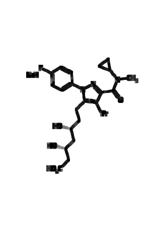 CC(C)c1c(C(=O)N(C)C2CC2)nn(-c2ccc(F)cc2)c1CC[C@@H](O)C[C@@H](O)CC(=O)O.[NaH]